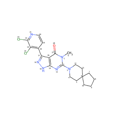 Cn1c(N2CCC3(CCCC3)CC2)nc2[nH]nc(-c3ccnc(Cl)c3Cl)c2c1=O